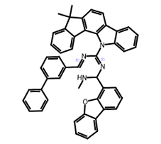 CNC(/N=C(\N=C\c1cccc(-c2ccccc2)c1)n1c2ccccc2c2ccc3c(c21)-c1ccccc1C3(C)C)c1cccc2c1oc1ccccc12